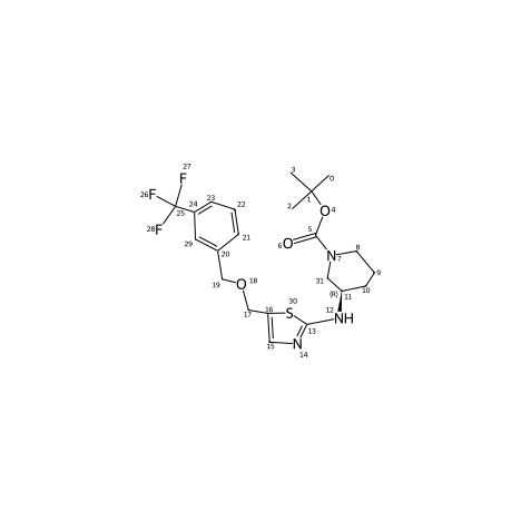 CC(C)(C)OC(=O)N1CCC[C@@H](Nc2ncc(COCc3cccc(C(F)(F)F)c3)s2)C1